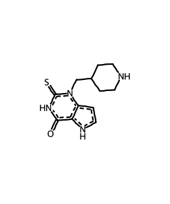 O=c1[nH]c(=S)n(CC2CCNCC2)c2cc[nH]c12